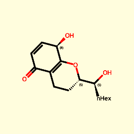 CCCCCC[C@H](O)[C@@H]1CCC2=C(O1)[C@H](O)C=CC2=O